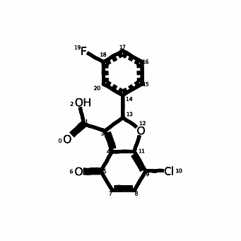 O=C(O)C1=C2C(=O)C=CC(Cl)=C2OC1c1cccc(F)c1